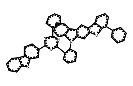 c1ccc(-c2nc(-c3ccc4c(c3)sc3ccccc34)nc(-c3ccccc3-n3c4ccccc4c4cc5c(cc43)oc3c(-c4ccccc4)cccc35)n2)cc1